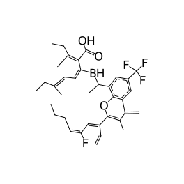 C=C/C(=C\C(F)=C/CCC)C1=C(C)C(=C)c2cc(C(F)(F)F)cc(C(C)BC(=C/C=C(\C)CC)/C(C(=O)O)=C(\C)CC)c2O1